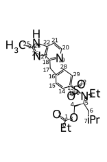 CCC(=O)OC[C@H](CC(C)C)N(CC)S(=O)(=O)c1ccc(Cc2nccc3[nH]c(C)nc23)cc1